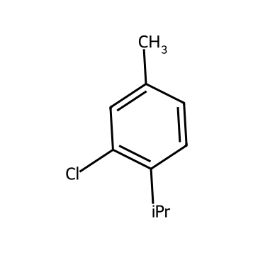 Cc1ccc(C(C)C)c(Cl)c1